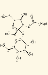 CCCCCCCC(=O)O[C@H]1[C@H](O)[C@@H](CO)O[C@@]1(CO)O[C@H]1O[C@H](CO)[C@@H](O)[C@H](O)[C@H]1O